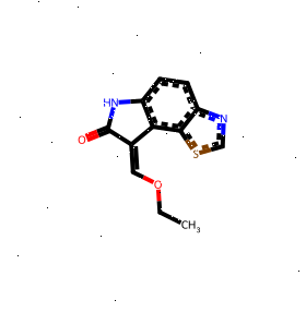 CCO/C=C1/C(=O)Nc2ccc3ncsc3c21